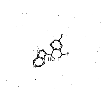 OC(c1ccc(F)cc1C(F)F)c1cnc2cnccn12